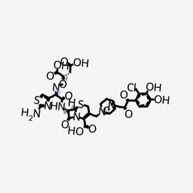 Nc1nc(/C(=N/O[C@@H](CC(=O)O)C(=O)O)C(=O)N[C@@H]2C(=O)N3C(C(=O)O)=C(C[N+]45CCC(CC4)N(C(=O)C(=O)c4ccc(O)c(O)c4Cl)CC5)CS[C@H]23)cs1